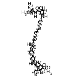 CC(=O)c1c(C)c2cnc(Nc3ccc(N4CCN(CC(=O)NCCOCCOCCOCCOCCNc5ccc(C)c(C(=O)Nc6nc(C)c(C)s6)c5)CC4)cn3)nc2n(C2CCCC2)c1=O